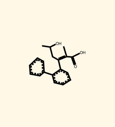 CC(C(=O)O)=C(CC(C)O)c1ccccc1-c1ccccc1